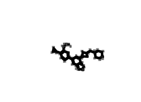 COc1cc(-c2cc(N3CC(CN4CCOCC4)C3)c3nonc3c2)ccc1C1CC1